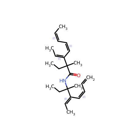 C=C/C=C\C(=C/C)C(C)(CC)NC(=O)C(C)(CC)C(/C=C\C=C/C)=C/C